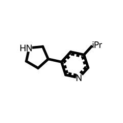 CC(C)c1cncc(C2CCNC2)c1